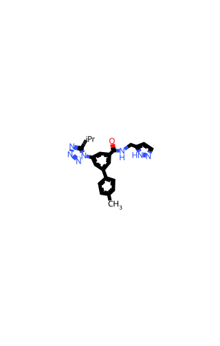 Cc1ccc(-c2cc(C(=O)NCc3ccn[nH]3)cc(-n3nnnc3C(C)C)c2)cc1